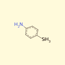 Nc1ccc([SiH3])cc1